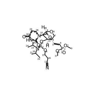 COP(=O)(/C=C/[C@]12CO[C@H](C[C@@H]1OP(OCCC#N)N(C(C)C)C(C)C)C(n1ccc(=O)[nH]c1=O)O2)OC